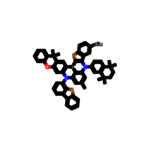 Cc1cc2c3c(c1)N(c1cccc4c1sc1ccccc14)c1cc4c(cc1B3c1sc3ccc(C(C)(C)C)cc3c1N2c1ccc2c(c1)C(C)(C)CCC2(C)C)C(C)(C)c1ccccc1O4